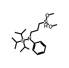 CO[SiH](CCCN(c1ccccc1)[Si](C(C)C)(C(C)C)C(C)C)OC